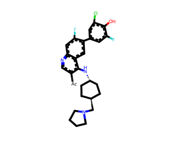 CC(=O)c1cnc2cc(F)c(-c3cc(F)c(O)c(Cl)c3)cc2c1N[C@H]1CC[C@H](CN2CCCC2)CC1